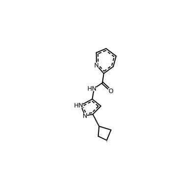 O=C(Nc1cc(C2C[CH]C2)n[nH]1)c1ccccn1